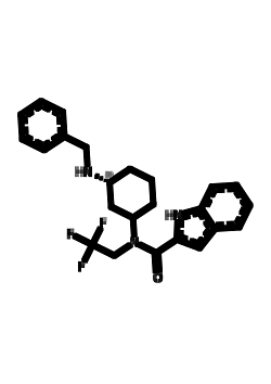 O=C(c1cc2ccccc2[nH]1)N(CC(F)(F)F)C1CCC[C@@H](NCc2ccccc2)C1